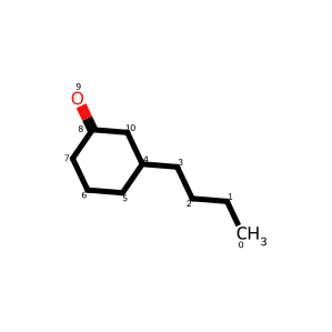 CCCCC1CCCC(=O)C1